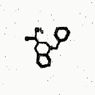 CC(=O)[C@@H]1Cc2ccccc2N(Cc2ccccc2)C1